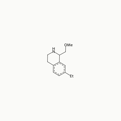 CCc1ccc2c(c1)C(COC)NCC2